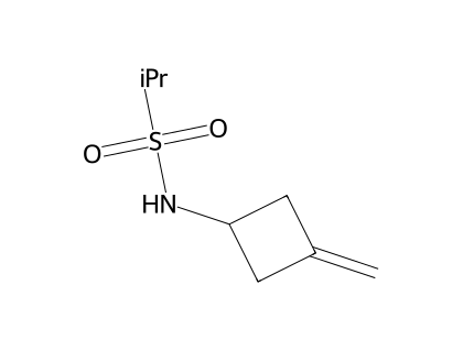 C=C1CC(NS(=O)(=O)C(C)C)C1